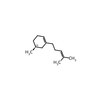 [CH2][C@H]1CCC=C(CCC=C(C)C)C1